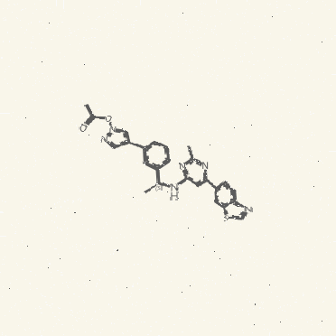 CC(=O)On1cc(-c2cccc([C@H](C)Nc3cc(-c4ccc5ncsc5c4)nc(C)n3)c2)cn1